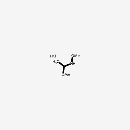 CONC(C)OC.Cl